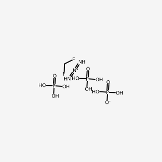 FCF.N=[N+]=N.O=P(O)(O)O.O=P(O)(O)O.O=P([O-])(O)O